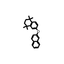 CC1(C)CCC(C)(C)c2cc(Oc3ccc4ccccc4c3)ccc21